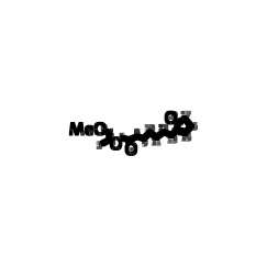 COCC(C)OCC(=O)CCCCCCC1=CCCC1=O